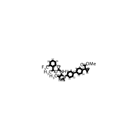 COC(=O)C1(c2ccc(-c3ccc(-n4nnc(C)c4NC(=O)OC(C)c4ccccc4C(F)(F)F)cc3)cc2)CC1